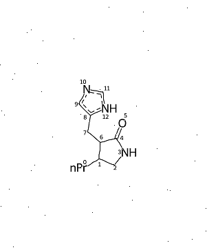 CCCC1CNC(=O)C1Cc1cnc[nH]1